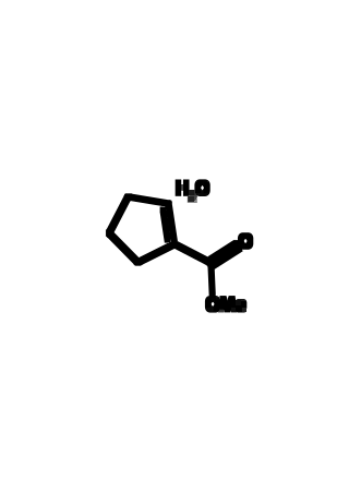 COC(=O)C1=CCCC1.O